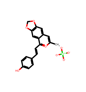 Cc1cc2cc3c(cc2c(C=Cc2ccc(O)cc2)[o+]1)OCO3.[O-][Cl+3]([O-])([O-])[O-]